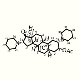 CC(=O)O[C@H]1C[C@@H]2CC[C@@H]3[C@H](CC[C@]4(C)C(=O)[C@@H](N5CCCCC5)C[C@@H]34)[C@@]2(C)C[C@@H]1N1CCCCC1